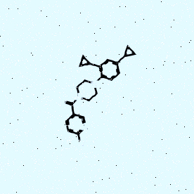 O=C(c1ccc(Br)nc1)N1CCN(c2ccc(C3CC3)cc2C2CC2)CC1